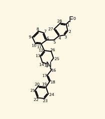 Fc1ccc(Cc2ccccc2C2=CCN(CC=Cc3ccccc3)CC2)cc1